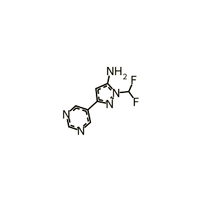 Nc1cc(-c2cncnc2)nn1C(F)F